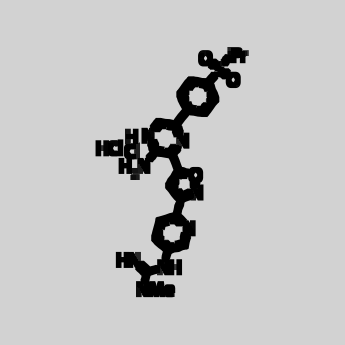 CNC(=N)Nc1ccc(-c2cc(-c3nc(-c4ccc(S(=O)(=O)C(C)C)cc4)cnc3N)on2)nc1.Cl.Cl